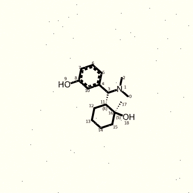 CN(C)C(c1cccc(O)c1)[C@H]1CCCC[C@]1(C)O